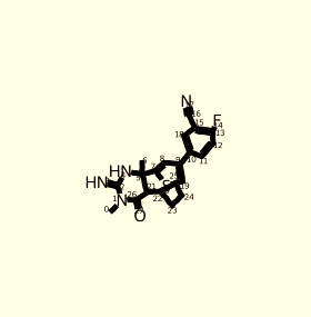 CN1C(=N)NC(C)(c2cc(-c3ccc(F)c(C#N)c3)cs2)C(C2CCC2)C1=O